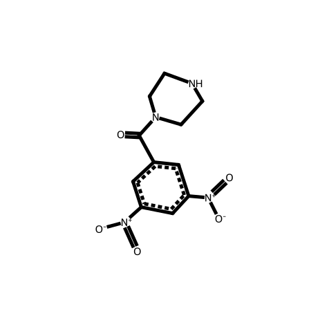 O=C(c1cc([N+](=O)[O-])cc([N+](=O)[O-])c1)N1CCNCC1